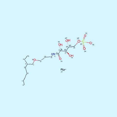 CCCCC(CC)COCCCNC(=O)[C@H](O)[C@H](O)[C@H](O)COS(=O)(=O)[O-].[Na+]